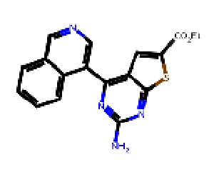 CCOC(=O)c1cc2c(-c3cncc4ccccc34)nc(N)nc2s1